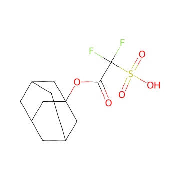 O=C(OC12CC3CC(CC(C3)C1)C2)C(F)(F)S(=O)(=O)O